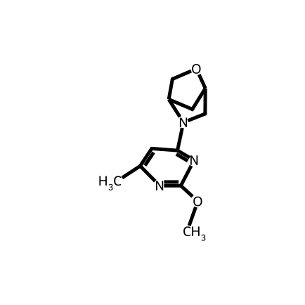 COc1nc(C)cc(N2CC3CC2CO3)n1